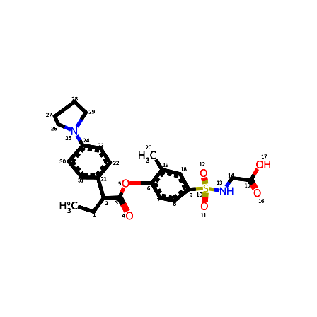 CCC(C(=O)Oc1ccc(S(=O)(=O)NCC(=O)O)cc1C)c1ccc(N2CCCC2)cc1